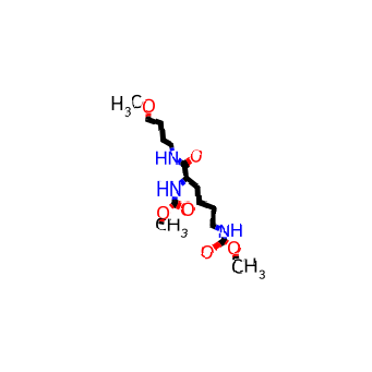 COCCCCNC(=O)C(CCCCNC(=O)OC)NC(=O)OC